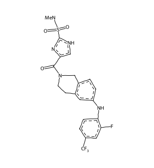 CNS(=O)(=O)c1nc(C(=O)N2CCc3cc(Nc4ccc(C(F)(F)F)cc4F)ccc3C2)c[nH]1